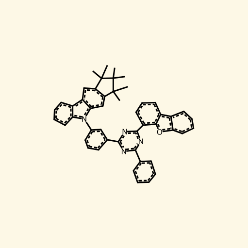 CC1(C)c2cc3c4ccccc4n(-c4cccc(-c5nc(-c6ccccc6)nc(-c6cccc7c6oc6ccccc67)n5)c4)c3cc2C(C)(C)C1(C)C